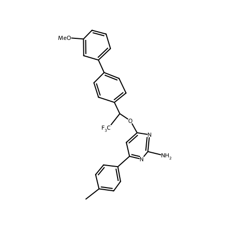 COc1cccc(-c2ccc(C(Oc3cc(-c4ccc(C)cc4)nc(N)n3)C(F)(F)F)cc2)c1